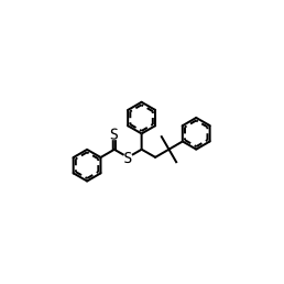 CC(C)(CC(SC(=S)c1ccccc1)c1ccccc1)c1ccccc1